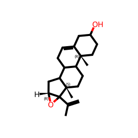 C=C(C)C12O[C@@H]1CC1C3CC=C4CC(O)CC[C@]4(C)C3CC[C@@]12C